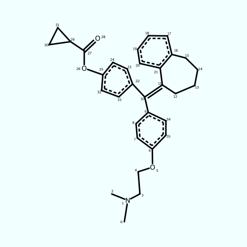 CN(C)CCOc1ccc(C(=C2CCCCc3ccccc32)c2ccc(OC(=O)C3CC3)cc2)cc1